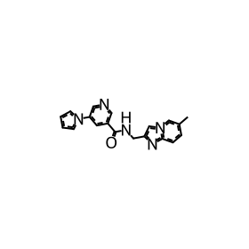 Cc1ccc2nc(CNC(=O)c3cncc(-n4cccc4)c3)cn2c1